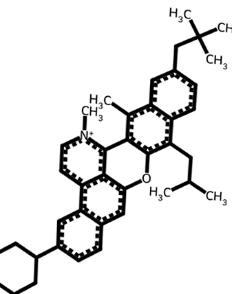 Cc1c2c(c(CC(C)C)c3ccc(CC(C)(C)C)cc13)Oc1cc3ccc(C4CCOCC4)cc3c3cc[n+](C)c-2c13